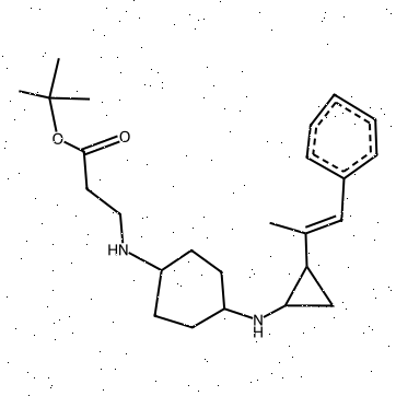 C/C(=C\c1ccccc1)C1CC1NC1CCC(NCCC(=O)OC(C)(C)C)CC1